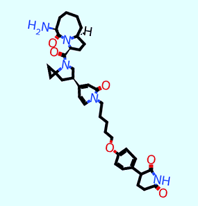 N[C@H]1CCCC[C@H]2CC[C@@H](C(=O)N3C[C@@H](c4ccn(CCCCCOc5ccc(C6CCC(=O)NC6=O)cc5)c(=O)c4)CC34CC4)N2C1=O